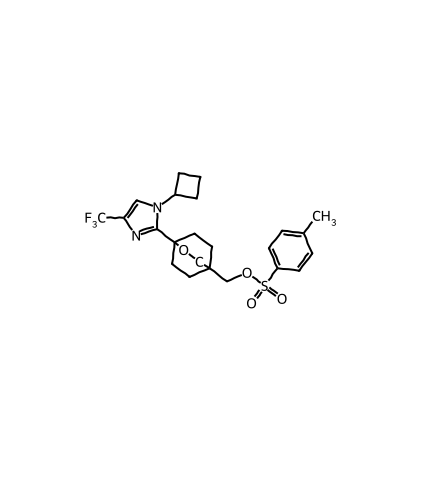 Cc1ccc(S(=O)(=O)OCC23CCC(c4nc(C(F)(F)F)cn4C4CCC4)(CC2)OC3)cc1